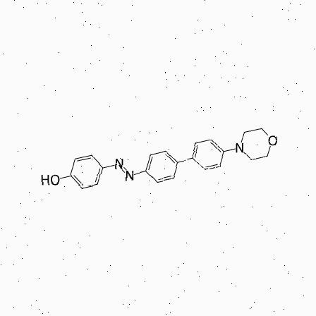 Oc1ccc(N=Nc2ccc(-c3ccc(N4CCOCC4)cc3)cc2)cc1